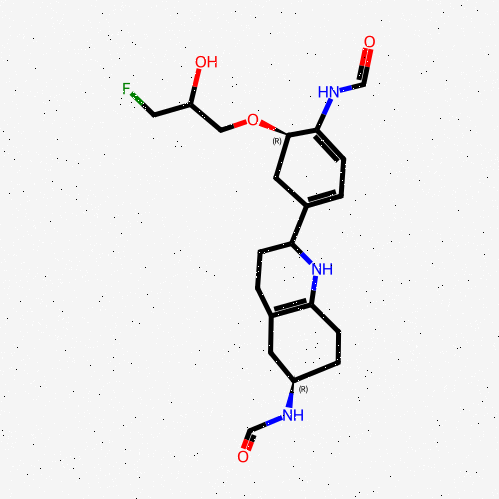 O=CNC1=CC=C(C2CCC3=C(CC[C@@H](NC=O)C3)N2)C[C@H]1OCC(O)CF